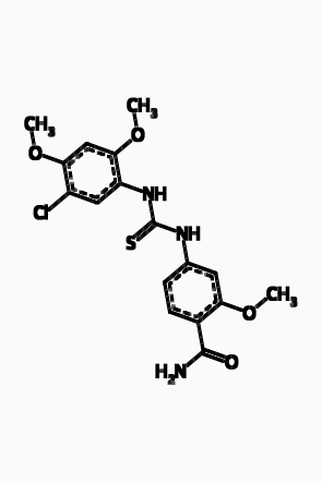 COc1cc(OC)c(NC(=S)Nc2ccc(C(N)=O)c(OC)c2)cc1Cl